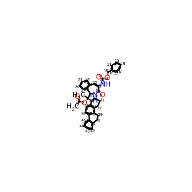 CC(=O)OC(C)(C1NC(=O)C(NC(=O)OCc2ccccc2)=Cc2ccccc21)[C@H]1CCCc2c1ccc1c2CCc2ccccc2-1